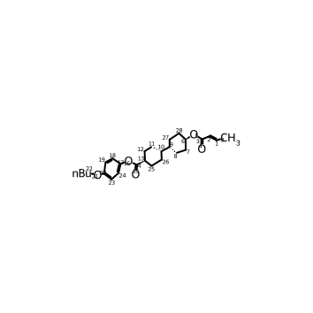 CC=CC(=O)O[C@H]1CC[C@H]([C@H]2CC[C@H](C(=O)Oc3ccc(OCCCC)cc3)CC2)CC1